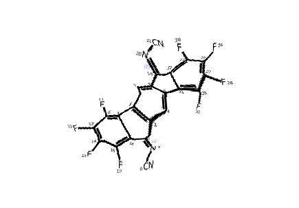 N#C/N=c1/c2cc3c(cc2c2c(F)c(F)c(F)c(F)c12)/c(=N/C#N)c1c(F)c(F)c(F)c(F)c13